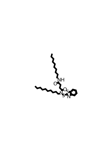 CCCCCCCCCCNC(=O)CCC(=O)N(CCCCCCCCCC)Sc1nc2ccccc2s1